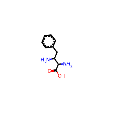 NC(Cc1ccccc1)C(N)C(=O)O